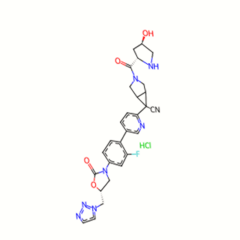 Cl.N#CC1(c2ccc(-c3ccc(N4C[C@H](Cn5ccnn5)OC4=O)cc3F)cn2)C2CN(C(=O)[C@@H]3C[C@@H](O)CN3)CC21